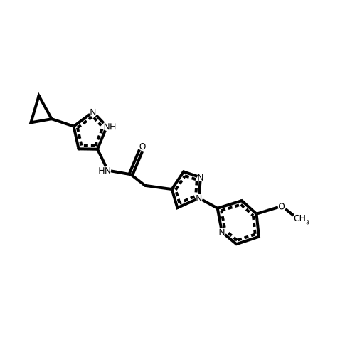 COc1ccnc(-n2cc(CC(=O)Nc3cc(C4CC4)n[nH]3)cn2)c1